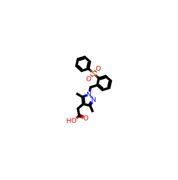 Cc1nn(Cc2ccccc2S(=O)(=O)c2ccccc2)c(C)c1CC(=O)O